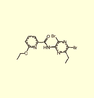 CCOc1cccc(C(=O)Nc2nc(CC)c(Br)nc2Br)n1